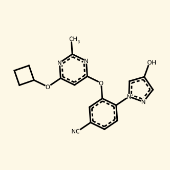 Cc1nc(Oc2cc(C#N)ccc2-n2cc(O)cn2)cc(OC2CCC2)n1